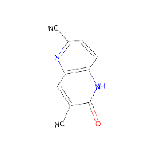 N#Cc1ccc2[nH]c(=O)c(C#N)cc2n1